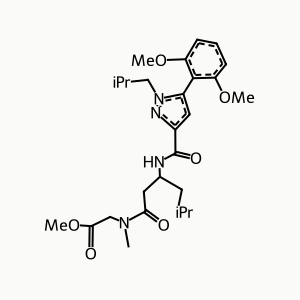 COC(=O)CN(C)C(=O)CC(CC(C)C)NC(=O)c1cc(-c2c(OC)cccc2OC)n(CC(C)C)n1